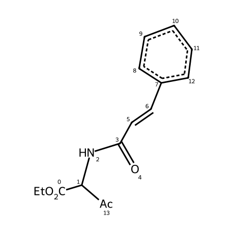 CCOC(=O)C(NC(=O)C=Cc1ccccc1)C(C)=O